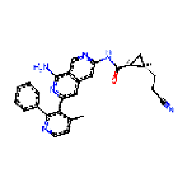 Cc1ccnc(-c2ccccc2)c1-c1cc2cc(NC(=O)[C@H]3C[C@@H]3CCC#N)ncc2c(N)n1